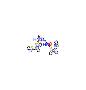 CCC(NC(=O)CCSC1=C/C(=C\c2sc3ccccc3[n+]2C)c2ccccc2N1c1ccccc1)N1CCN(CCCNC(=O)CCSC2=C/C(=C\c3sc4ccccc4[n+]3C)c3ccccc3N2c2ccccc2)CC1